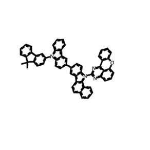 CC1(C)c2ccccc2-c2cc(-n3c4ccccc4c4cc(-c5ccc6c(c5)c5ccc7ccccc7c5n6-c5nc6c7c(cccc7n5)Oc5ccccc5-6)ccc43)ccc21